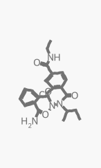 CCNC(=O)c1ccc(C(=O)N(C(C)CC)N(C)C(=O)c2ccccc2C(N)=O)c(Cl)c1